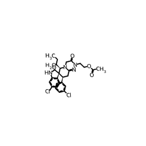 C=C(CC)[C@H]1N2CC(=O)N(CCOC(C)=O)N=C2C[C@@H](c2cccc(Cl)c2)[C@]12C(=O)Nc1cc(Cl)ccc12